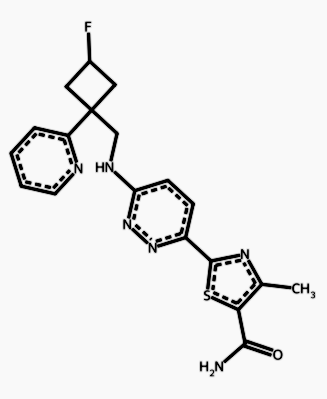 Cc1nc(-c2ccc(NCC3(c4ccccn4)CC(F)C3)nn2)sc1C(N)=O